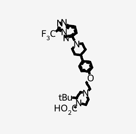 CC(C)(C)C1CN(CCOc2ccc(C3CCN(c4ccc5nnc(C(F)(F)F)n5n4)CC3)cc2)CCN1C(=O)O